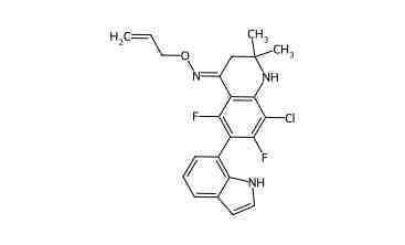 C=CCO/N=C1\CC(C)(C)Nc2c(Cl)c(F)c(-c3cccc4cc[nH]c34)c(F)c21